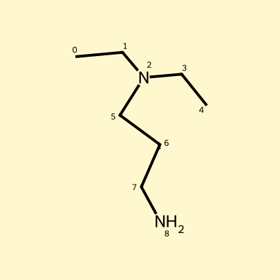 CCN(CC)C[CH]CN